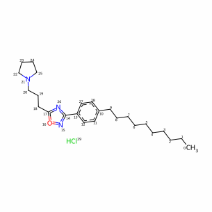 CCCCCCCCCCc1ccc(-c2noc(CCCN3CCCC3)n2)cc1.Cl